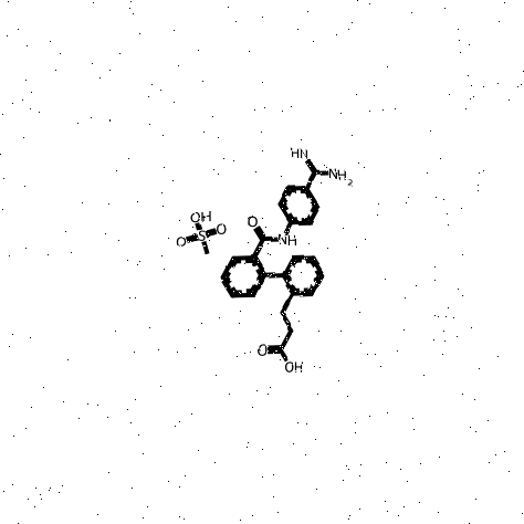 CS(=O)(=O)O.N=C(N)c1ccc(NC(=O)c2ccccc2-c2ccccc2CCC(=O)O)cc1